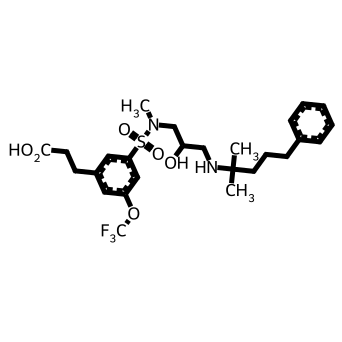 CN(CC(O)CNC(C)(C)CCCc1ccccc1)S(=O)(=O)c1cc(CCC(=O)O)cc(OC(F)(F)F)c1